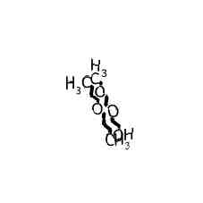 CCCCOCCCC.CCOCCOCCO